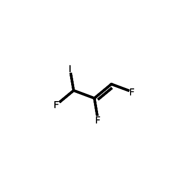 FC=C(F)C(F)I